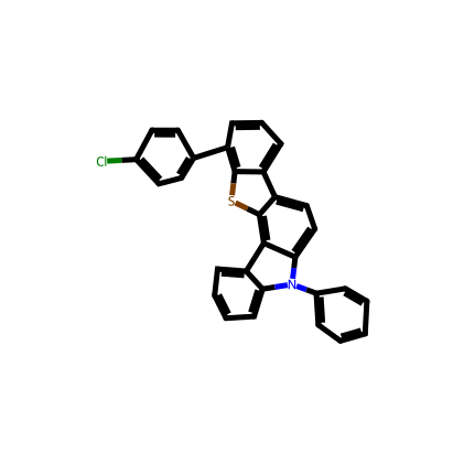 Clc1ccc(-c2cccc3c2sc2c3ccc3c2c2ccccc2n3-c2ccccc2)cc1